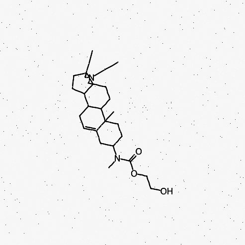 CC1C2CCC3C4CC=C5CC(N(C)C(=O)OCCO)CCC5(C)C4CCC32CN1C